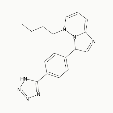 CCCCN1C=CC=C2N=CC(c3ccc(-c4nnn[nH]4)cc3)N21